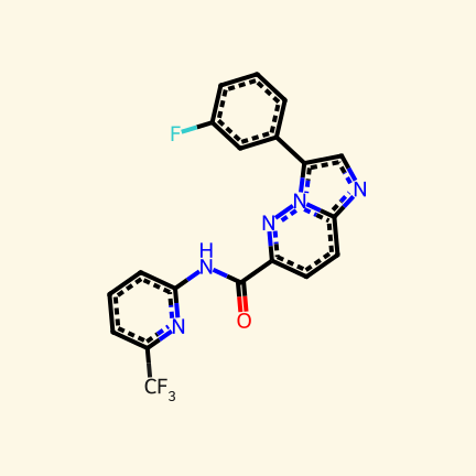 O=C(Nc1cccc(C(F)(F)F)n1)c1ccc2ncc(-c3cccc(F)c3)n2n1